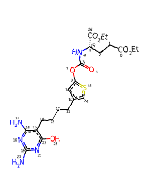 CCOC(=O)CC[C@H](NC(=O)Oc1cc(CCCCc2c(N)nc(N)nc2O)cs1)C(=O)OCC